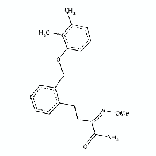 CON=C(CCc1ccccc1COc1cccc(C)c1C)C(N)=O